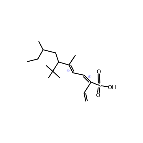 C=C/C(=C\C=C(/C)C(CC(C)CC)C(C)(C)C)S(=O)(=O)O